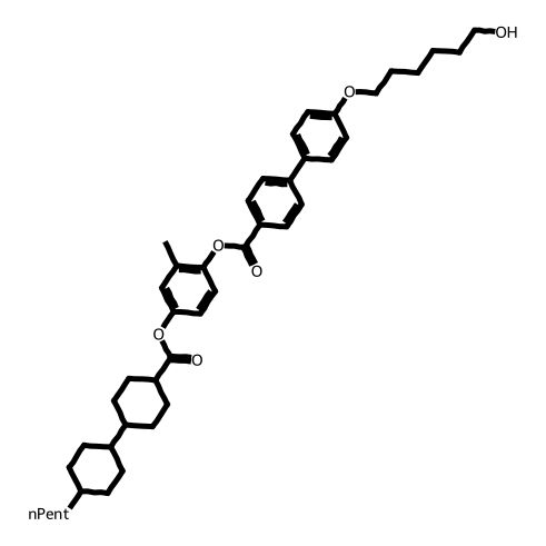 CCCCCC1CCC(C2CCC(C(=O)Oc3ccc(OC(=O)c4ccc(-c5ccc(OCCCCCCO)cc5)cc4)c(C)c3)CC2)CC1